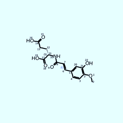 COc1ccc(/C=C/C(=O)N[C@@H](CCC(=O)O)C(=O)O)cc1O